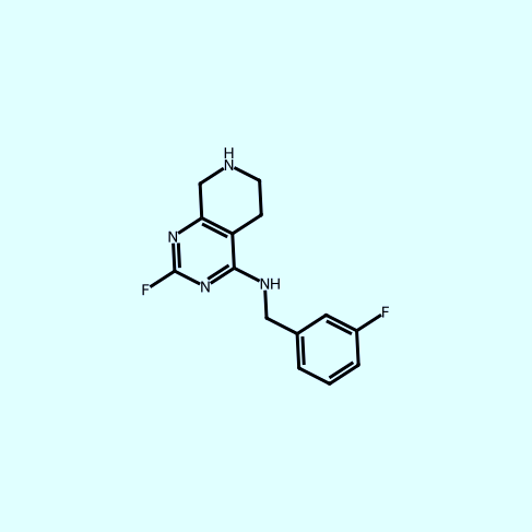 Fc1cccc(CNc2nc(F)nc3c2CCNC3)c1